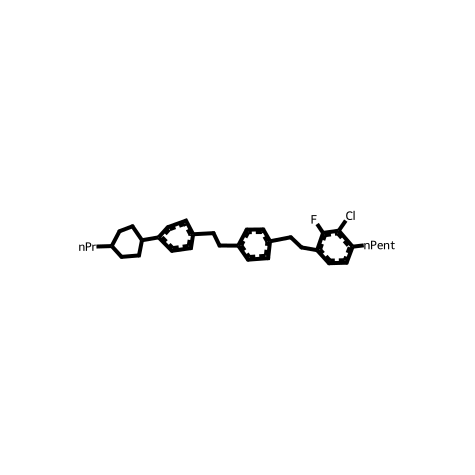 CCCCCc1ccc(CCc2ccc(CCc3ccc(C4CCC(CCC)CC4)cc3)cc2)c(F)c1Cl